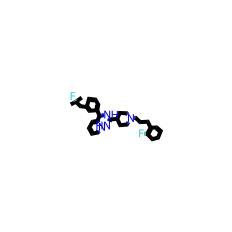 CC(C)(F)Cc1cccc(C(NC(=N)C2CCN(CCCC3=C(F)CCC=C3)CC2)c2ccccn2)c1